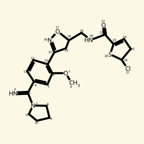 COc1cc(C(=N)N2CCCC2)ccc1C1=NOC(CNC(=O)C2=CCC(Cl)S2)C1